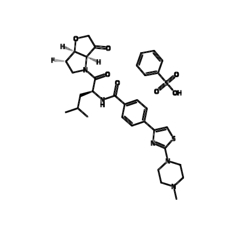 CC(C)C[C@H](NC(=O)c1ccc(-c2csc(N3CCN(C)CC3)n2)cc1)C(=O)N1C[C@H](F)[C@H]2OCC(=O)[C@H]21.O=S(=O)(O)c1ccccc1